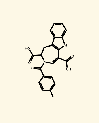 O=C(O)C1=CN(C(=O)c2ccc(F)cc2)C(C(=O)O)Cc2c1[nH]c1ccccc21